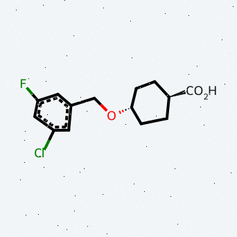 O=C(O)[C@H]1CC[C@H](OCc2cc(F)cc(Cl)c2)CC1